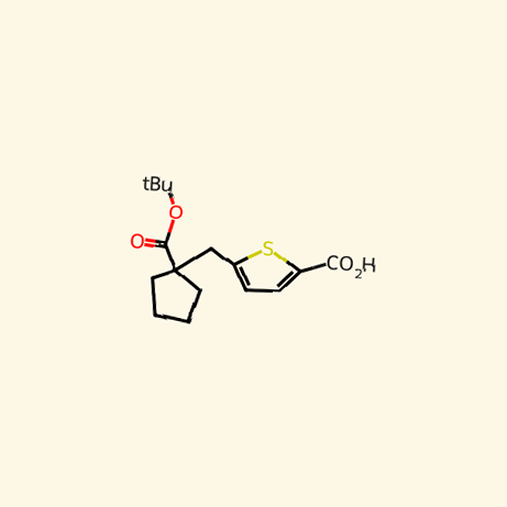 CC(C)(C)OC(=O)C1(Cc2ccc(C(=O)O)s2)CCCC1